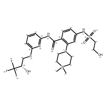 C[Si]1(C)CCN(c2cc(NS(=O)(=O)CCO)ccc2C(=O)Nc2cccc(OC[C@H](O)C(F)(F)F)n2)CC1